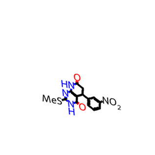 CSc1nc2c(c(=O)[nH]1)C(c1cccc([N+](=O)[O-])c1)CC(=O)N2